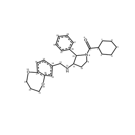 O=C(C1CCCCC1)N1CCC(NCc2ccc3c(c2)OCCCO3)C1c1ccccc1